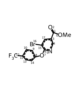 COC(=O)c1cnc(Oc2ccc(C(F)(F)F)cc2)c(Br)c1